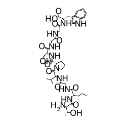 CC[C@H](C)[C@H](NC(=O)[C@@H](N)[C@@H](C)O)C(=O)NCC(=O)N[C@H](C(=O)N1CCC[C@H]1C(=O)N[C@@H](CO)C(=O)NCC(=O)NCC(=O)N[C@@H](Cc1c[nH]c2ccccc12)C(=O)O)C(C)C